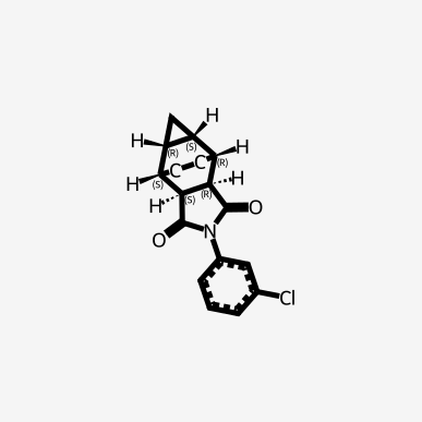 O=C1[C@@H]2[C@@H]3CC[C@@H]([C@@H]4C[C@@H]43)[C@@H]2C(=O)N1c1cccc(Cl)c1